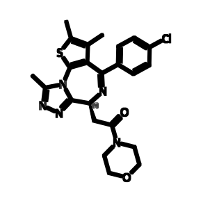 Cc1sc2c(c1C)C(c1ccc(Cl)cc1)=N[C@@H](CC(=O)N1CCOCC1)c1nnc(C)n1-2